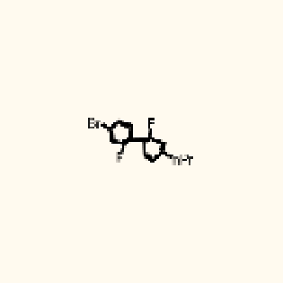 CCCc1ccc(-c2ccc(Br)cc2F)c(F)c1